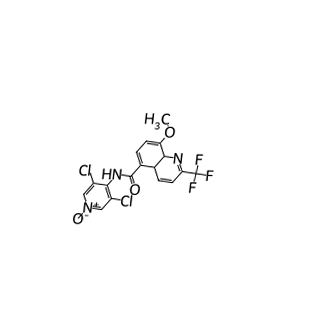 COC1=CC=C(C(=O)Nc2c(Cl)c[n+]([O-])cc2Cl)C2C=CC(C(F)(F)F)=NC12